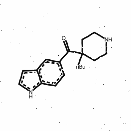 CCCCC1(C(=O)c2ccc3[nH]ccc3c2)CCNCC1